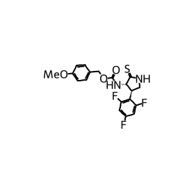 COc1ccc(COC(=O)N[C@@H]2C(=S)NC[C@H]2c2c(F)cc(F)cc2F)cc1